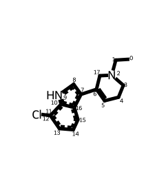 CCN1CCC=C(c2c[nH]c3c(Cl)cccc23)C1